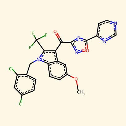 COc1ccc2c(c1)c(C(=O)c1noc(-c3ccncn3)n1)c(C(F)(F)F)n2Cc1ccc(Cl)cc1Cl